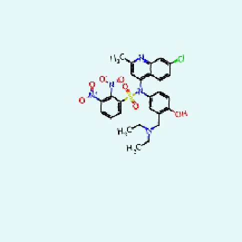 CCN(CC)Cc1cc(N(c2cc(C)nc3cc(Cl)ccc23)S(=O)(=O)c2cccc([N+](=O)[O-])c2[N+](=O)[O-])ccc1O